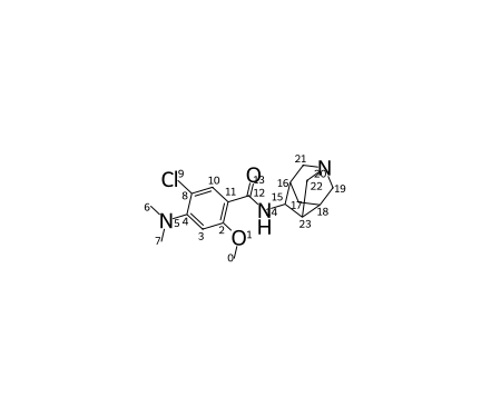 COc1cc(N(C)C)c(Cl)cc1C(=O)NC1C2CC3CN(C2)CC31